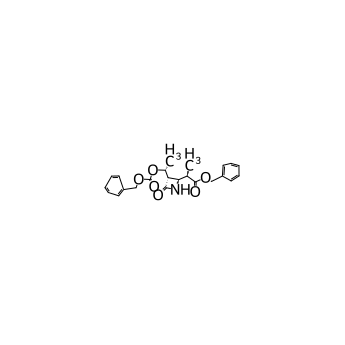 C[C@@H](OC(=O)OCc1ccccc1)[C@H]1C(=O)N[C@@H]1[C@@H](C)C(=O)OCc1ccccc1